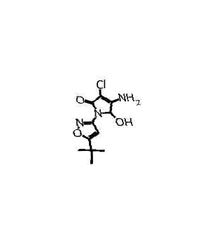 CC(C)(C)c1cc(N2C(=O)C(Cl)=C(N)C2O)no1